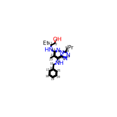 CC[C@H](CO)Nc1nn2c(C(C)C)nnc2c(NCc2ccccc2)c1C